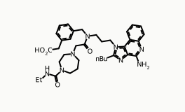 CCCCc1nc2c(N)nc3ccccc3c2n1CCCN(Cc1cccc(CC(=O)O)c1)C(=O)CN1CCCN(C(=O)NCC)CC1